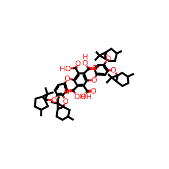 CC1CCC2C(C)(C)C2(Oc2ccc(Oc3c(C(=O)O)c(C(=O)O)c(Oc4ccc(OC56CC(C)CCC5C6(C)C)c(OC56CC(C)CCC5C6(C)C)c4)c(C(=O)O)c3C(=O)O)cc2OC23CC(C)CCC2C3(C)C)C1